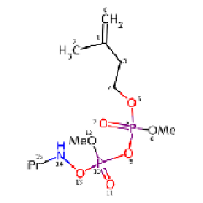 C=C(C)CCOP(=O)(OC)OP(=O)(OC)ONC(C)C